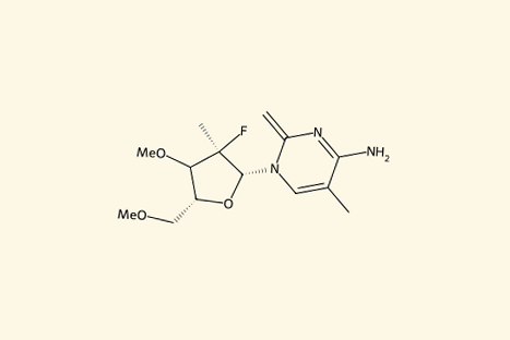 C=C1N=C(N)C(C)=CN1[C@@H]1O[C@H](COC)C(OC)[C@@]1(C)F